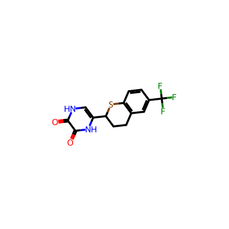 O=c1[nH]cc(C2CCc3cc(C(F)(F)F)ccc3S2)[nH]c1=O